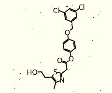 Cc1nc(CC(=O)Oc2ccc(OCc3cc(Cl)cc(Cl)c3)cc2)sc1CCO